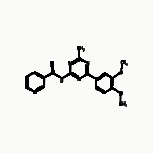 COc1ccc(-c2nc(N)nc(NC(=O)c3cccnc3)n2)cc1OC